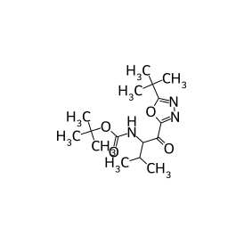 CC(C)C(NC(=O)OC(C)(C)C)C(=O)c1nnc(C(C)(C)C)o1